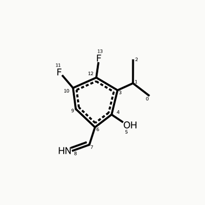 CC(C)c1c(O)c(C=N)cc(F)c1F